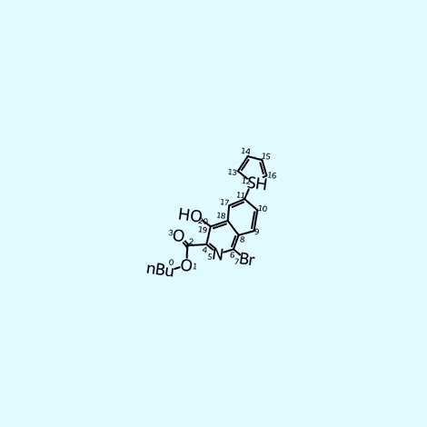 CCCCOC(=O)c1nc(Br)c2ccc([SH]3C=CC=C3)cc2c1O